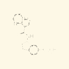 O=C(O)c1ccc2c(c1)[C@H](NC(=O)c1cnn3cccnc13)CC2